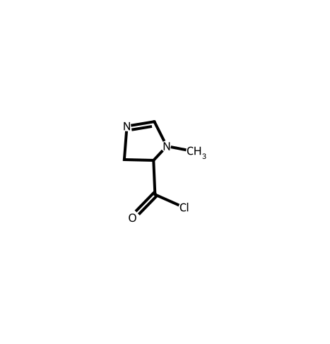 CN1C=NCC1C(=O)Cl